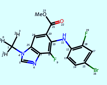 [2H]C([2H])([2H])n1cnc2c(F)c(Nc3ccc(Br)cc3F)c(C(=O)OC)cc21